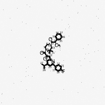 CO[C@@H](C(=O)N1CCN(C(=O)c2cc3nc(-c4ccc(F)cc4)cc(C(C)C)c3o2)C(C)(C)C1)c1ccccc1